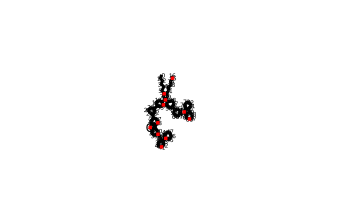 CCCCCCCCC1(CCCCCCCC)c2ccc(-c3cccc(-c4ccc5c(c4)oc4ccc(-n6c7ccccc7c7ccccc76)cc45)c3)cc2-c2cc(-c3cccc(-n4c5ccccc5c5ccccc54)c3)ccc21